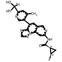 [2H]C(O)(CCC)c1cc(C)c(-c2cc3cnc(NC(=O)[C@H]4C[C@H]4F)cc3n3ncnc23)cn1